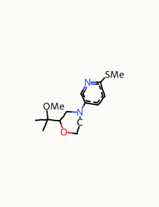 COC(C)(C)C1CN(c2ccc(SC)nc2)CCO1